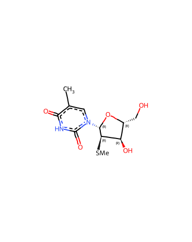 CS[C@@H]1[C@H](O)[C@@H](CO)O[C@H]1n1cc(C)c(=O)[nH]c1=O